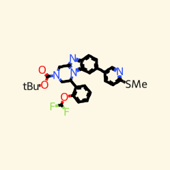 CSc1ccc(-c2ccc3nc4n(c3c2)C(c2ccccc2OC(F)F)CN(C(=O)OC(C)(C)C)C4)cn1